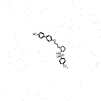 N#Cc1ccc(-c2ccc(OCCCN3CCCC3NS(=O)(=O)c3ccc(C(F)(F)F)cc3)cc2)cc1